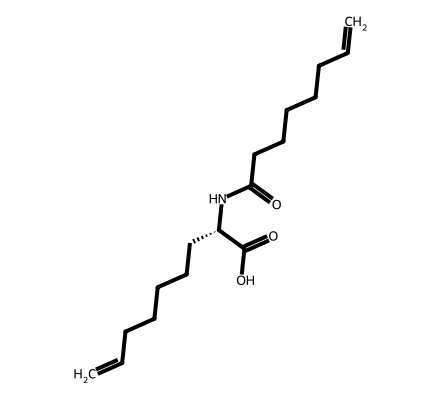 C=CCCCCCC(=O)N[C@@H](CCCCCC=C)C(=O)O